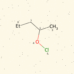 CCCC(C)OCl